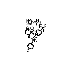 CCn1cnc(SN2CCC3=Cc4c(cnn4-c4ccc(F)cc4)CC3(C(=O)c3cc(C(F)(F)F)ccn3)C2)c1